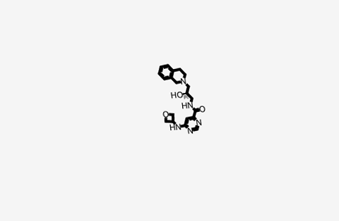 O=C(NC[C@@H](O)CN1CCc2ccccc2C1)c1cc(NC2COC2)ncn1